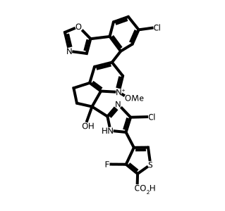 CO[n+]1cc(-c2cc(Cl)ccc2-c2cnco2)cc2c1C(O)(c1nc(Cl)c(-c3csc(C(=O)O)c3F)[nH]1)CC2